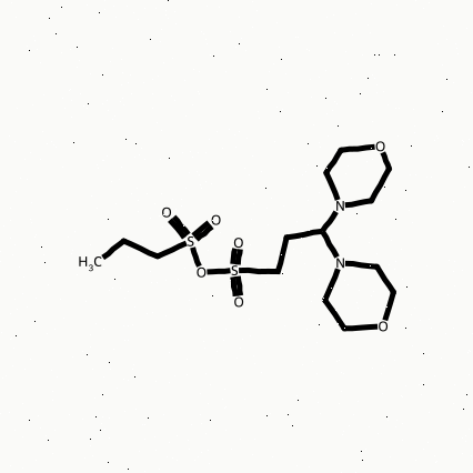 CCCS(=O)(=O)OS(=O)(=O)CCC(N1CCOCC1)N1CCOCC1